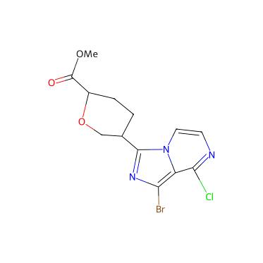 COC(=O)C1CCC(c2nc(Br)c3c(Cl)nccn23)CO1